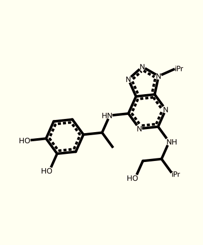 CC(Nc1nc(NC(CO)C(C)C)nc2c1nnn2C(C)C)c1ccc(O)c(O)c1